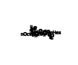 C=CC(=O)OC(CCCCCC)Oc1ccc(OC(=O)c2ccc(OC(CCCCCCCC)C3CC(=C)C(=O)O3)cc2)cc1